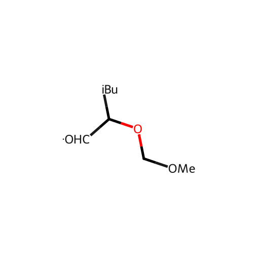 CCC(C)C([C]=O)OCOC